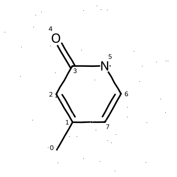 CC1=[C]C(=O)[N]C=C1